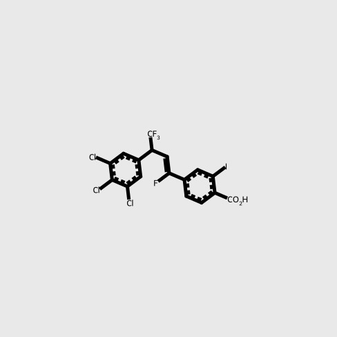 O=C(O)c1ccc(C(F)=CC(c2cc(Cl)c(Cl)c(Cl)c2)C(F)(F)F)cc1I